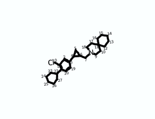 Clc1cc(C2CC2CN2CCC3(CCCCC3)CC2)ccc1C1CCCCC1